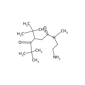 CN(CCN)C(=O)CC(C(=O)C(C)(C)C)C(C)(C)C